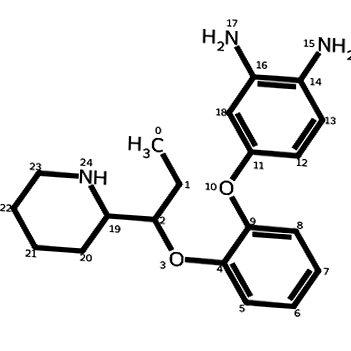 CCC(Oc1ccccc1Oc1ccc(N)c(N)c1)C1CCCCN1